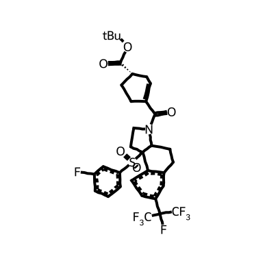 CC(C)(C)OC(=O)[C@@H]1CC=C(C(=O)N2CCC3(S(=O)(=O)c4cccc(F)c4)c4ccc(C(F)(C(F)(F)F)C(F)(F)F)cc4CCC23)CC1